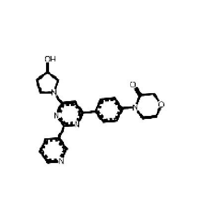 O=C1COCCN1c1ccc(-c2cc(N3CCC(O)C3)nc(-c3cccnc3)n2)cc1